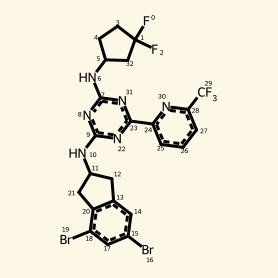 FC1(F)CCC(Nc2nc(NC3Cc4cc(Br)cc(Br)c4C3)nc(-c3cccc(C(F)(F)F)n3)n2)C1